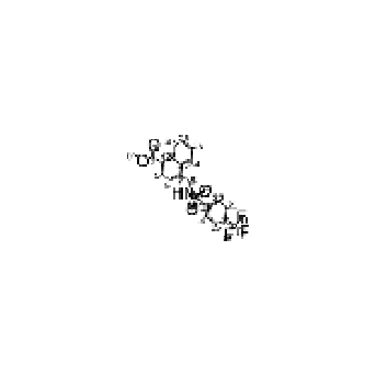 COC(=O)c1ccc(CNS(=O)(=O)c2ccc(C(F)(F)F)cc2)c2ccccc12